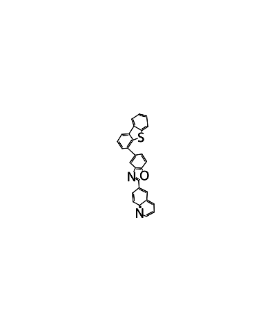 c1cnc2ccc(-c3nc4cc(-c5cccc6c5sc5ccccc56)ccc4o3)cc2c1